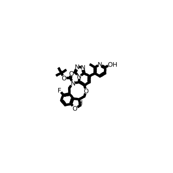 Cc1nc(O)ccc1-c1cc2c(n3cnnc13)N(C(=O)OC(C)(C)C)Cc1c(F)ccc3c1[C@H](CO3)CO2